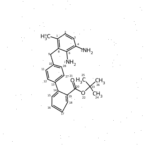 Cc1ccc(N)c(N)c1Cc1ccc(-c2ccccc2C(=O)OC(C)(C)C)cc1